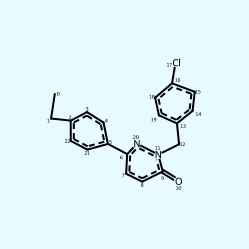 CCc1ccc(-c2ccc(=O)n(Cc3ccc(Cl)cc3)n2)cc1